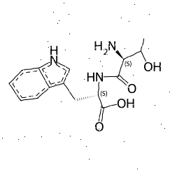 CC(O)[C@H](N)C(=O)N[C@@H](Cc1c[nH]c2ccccc12)C(=O)O